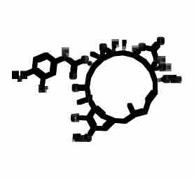 COc1cc2cc(c1Cl)N(C)C(=O)C[C@H](OC(=O)Nc1ccc(N)c(Br)c1)[C@]1(C)O[C@H]1[C@H](C)[C@@H]1C[C@@](O)(NC(=O)O1)[C@H](OC)/C=C/C=C(\C)C2